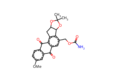 COc1ccc2c(c1)C(=O)c1cc(COC(N)=O)c3c(c1C2=O)CC1OC(C)(C)OC31